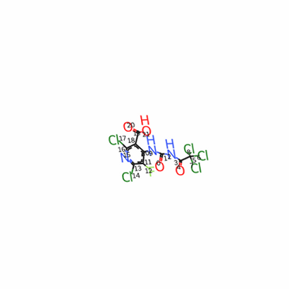 O=C(NC(=O)C(Cl)(Cl)Cl)Nc1c(F)c(Cl)nc(Cl)c1C(=O)O